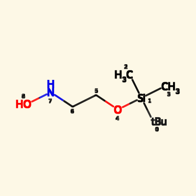 CC(C)(C)[Si](C)(C)OCCNO